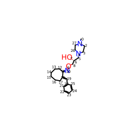 CN1CCN(C[C@@H](O)CO/N=C2\CCCCCC\C2=C/c2ccccc2)CC1